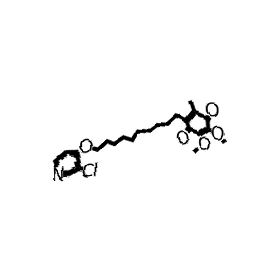 COC1=C(OC)C(=O)C(CCCCCCCCCCOc2ccncc2Cl)=C(C)C1=O